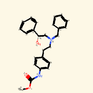 CC(C)(C)OC(=O)Nc1ccc(CCN(Cc2ccccc2)C[C@H](O)c2ccccc2)cc1